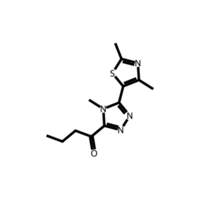 CCCC(=O)c1nnc(-c2sc(C)nc2C)n1C